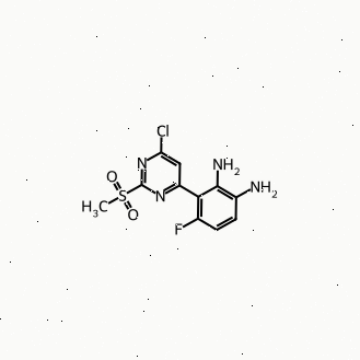 CS(=O)(=O)c1nc(Cl)cc(-c2c(F)ccc(N)c2N)n1